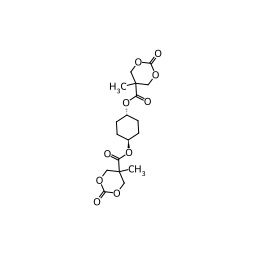 CC1(C(=O)O[C@H]2CC[C@H](OC(=O)C3(C)COC(=O)OC3)CC2)COC(=O)OC1